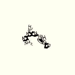 Cc1c(N)cncc1-c1cc2cc(NC(=O)O[C@]3(C)CCOC3)ncc2c(N)n1